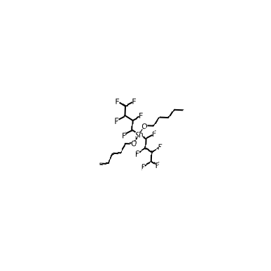 CCCCC[O][Sn]([O]CCCCC)([CH](F)C(F)C(F)C(F)F)[CH](F)C(F)C(F)C(F)F